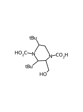 CC(C)(C)C1CN(C(=O)O)C(CO)C(C(C)(C)C)N1C(=O)O